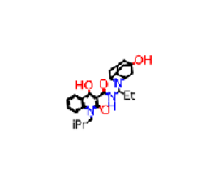 CCC(NC(=O)c1c(O)c2ccccc2n(CC(C)C)c1=O)N1C2CC3CC1CC(O)(C3)C2